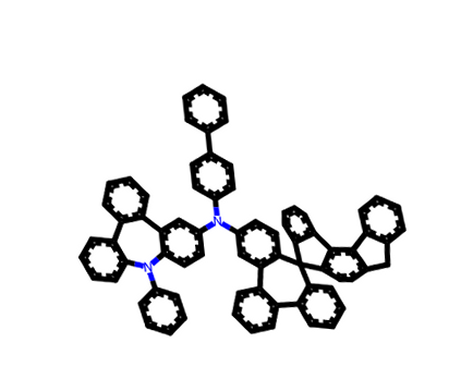 c1ccc(-c2ccc(N(c3ccc4c(c3)-c3ccccc3-c3ccccc3N4c3ccccc3)c3ccc4c(c3)-c3ccccc3-c3ccccc3C43c4ccccc4-c4c3ccc3c4-c4ccccc4C3)cc2)cc1